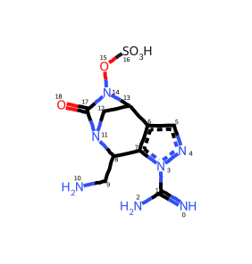 N=C(N)n1ncc2c1C(CN)N1CC2N(OS(=O)(=O)O)C1=O